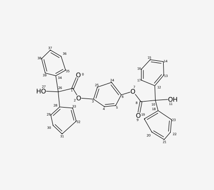 O=C(Oc1ccc(OC(=O)C(O)(c2ccccc2)c2ccccc2)cc1)C(O)(c1ccccc1)c1ccccc1